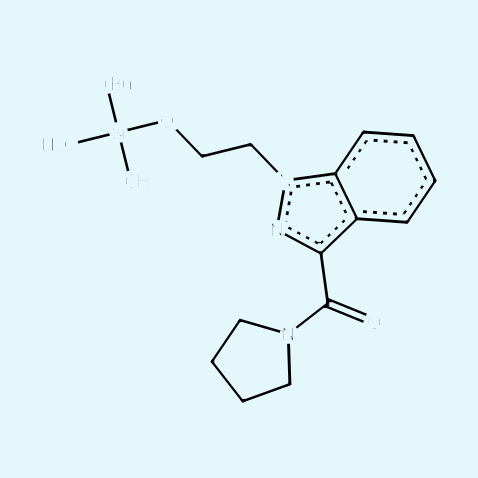 CC(C)(C)[Si](C)(C)OCCn1nc(C(=O)N2CCCC2)c2ccccc21